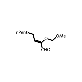 CCCCCCC=C(C=O)OCOC